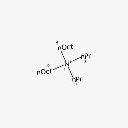 CCCCCCCC[N+](CCC)(CCC)CCCCCCCC